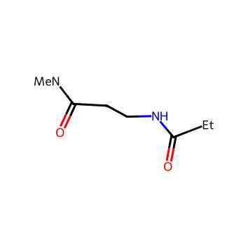 CCC(=O)NCCC(=O)NC